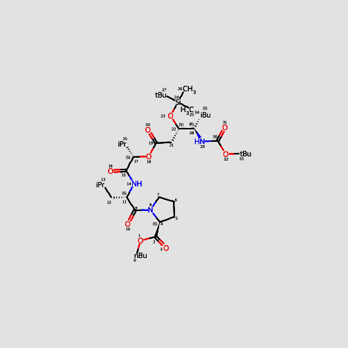 CCCCOC(=O)[C@@H]1CCCN1C(=O)[C@H](CC(C)C)NC(=O)[C@@H](OC(=O)C[C@H](O[Si](C)(C)C(C)(C)C)[C@H](NC(=O)OC(C)(C)C)[C@@H](C)CC)C(C)C